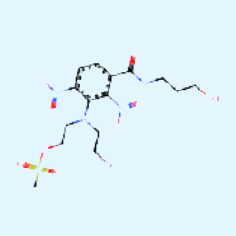 CS(=O)(=O)OCCN(CCBr)c1c([N+](=O)[O-])ccc(C(=O)NCCCO)c1[N+](=O)[O-]